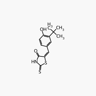 CC(C)(C)c1cc(C=C2SC(=S)NC2=O)ccc1O